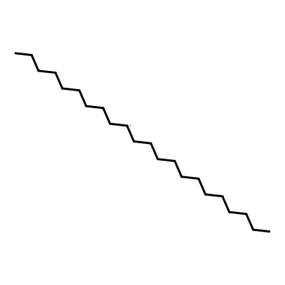 CCCCCCCCC[CH]CCCCCCCCCCCC